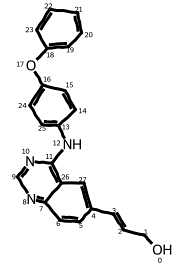 OCC=Cc1ccc2ncnc(Nc3ccc(Oc4ccccc4)cc3)c2c1